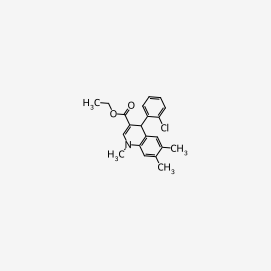 CCOC(=O)C1=CN(C)c2cc(C)c(C)cc2C1c1ccccc1Cl